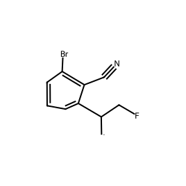 [CH2]C(CF)c1cccc(Br)c1C#N